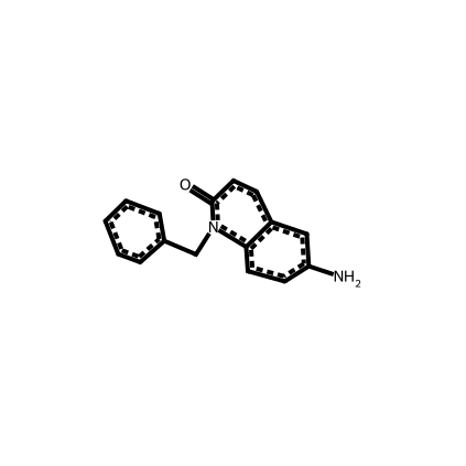 Nc1ccc2c(ccc(=O)n2Cc2ccccc2)c1